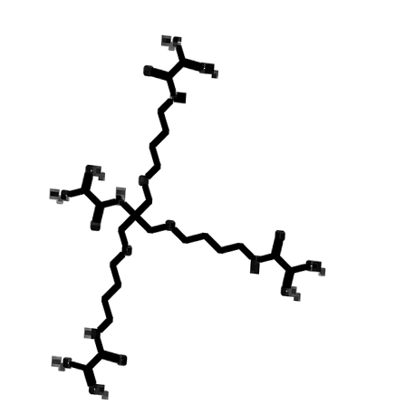 C=C(C)C(=O)NCCCCOCC(COCCCCNC(=O)C(=C)C)(COCCCCNC(=O)C(=C)C)NC(=O)C(=C)C